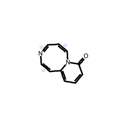 O=c1cccc2n1\C=C/C=N\C=C/2